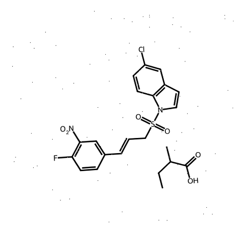 CCC(C)C(=O)O.O=[N+]([O-])c1cc(C=CCS(=O)(=O)n2ccc3cc(Cl)ccc32)ccc1F